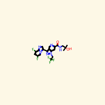 CC(C)(O)CNC(=O)c1cc2c(cn1)c(-c1cnc3c(F)cc(F)cn13)nn2CC(F)(F)F